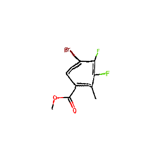 COC(=O)c1cc(Br)c(F)c(F)c1C